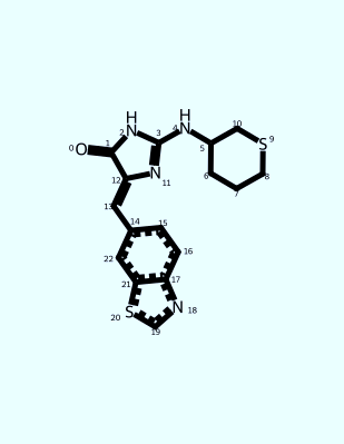 O=C1NC(NC2CCCSC2)=N/C1=C\c1ccc2ncsc2c1